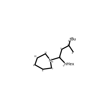 CCCCCCC(CC(C)C(C)(C)C)N1CCCCC1